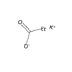 [CH2]CC(=O)[O-].[K+]